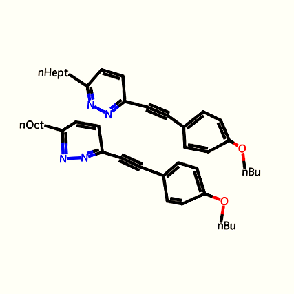 CCCCCCCCc1ccc(C#Cc2ccc(OCCCC)cc2)nn1.CCCCCCCc1ccc(C#Cc2ccc(OCCCC)cc2)nn1